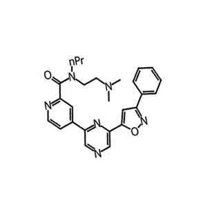 CCCN(CCN(C)C)C(=O)c1cc(-c2cncc(-c3cc(-c4ccccc4)no3)n2)ccn1